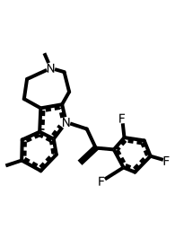 C=C(Cn1c2c(c3cc(C)ccc31)CCN(C)CC2)c1c(F)cc(F)cc1F